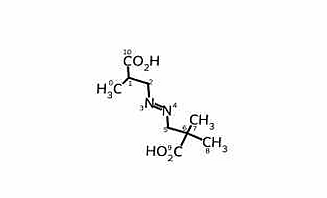 CC(CN=NCC(C)(C)C(=O)O)C(=O)O